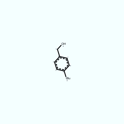 CC(C)(C)c1[c]cc(CO)cc1